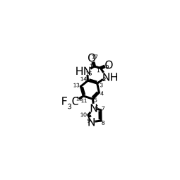 O=c1[nH]c2cc(-n3ccnc3)c(C(F)(F)F)cc2[nH]c1=O